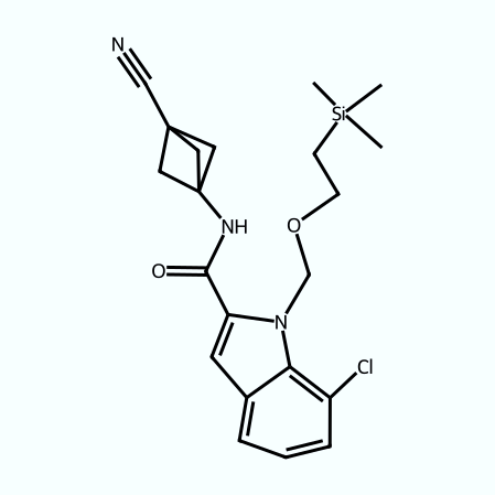 C[Si](C)(C)CCOCn1c(C(=O)NC23CC(C#N)(C2)C3)cc2cccc(Cl)c21